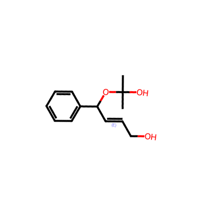 CC(C)(O)OC(/C=C/CO)c1ccccc1